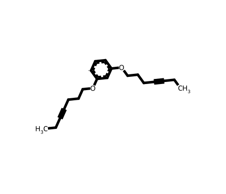 CCC#CCCCOc1[c]ccc(OCCCC#CCC)c1